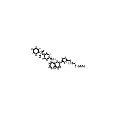 CSCCNCc1ccc(-c2cc3c(Nc4ccc(S(=O)(=O)c5ccccc5)cc4)ncnc3cn2)o1